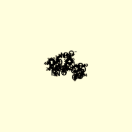 COC(=O)[C@H]1O[C@@H](Oc2ccc([N+](=O)[O-])cc2CN(C)C(=O)n2ccc3c(N(C)[C@H]4CN(C(=O)CC#N)CC[C@H]4C)ncnc32)C[C@@H](OC(C)=O)[C@@H]1OC(C)=O